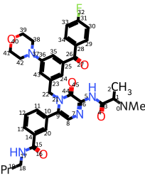 CNC(C)C(=O)Nc1ncc(-c2cccc(C(=O)NCC(C)C)c2)n(Cc2cc(C(=O)c3ccc(F)cc3)cc(N3CCOCC3)c2)c1=O